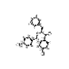 O=C(C(=Cc1cccnc1)SCc1ccc(Cl)cc1)c1ccc(Cl)cc1